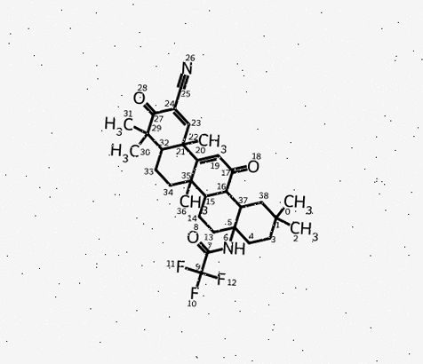 CC1(C)CCC2(NC(=O)C(F)(F)F)CCC3C(C(=O)C=C4C5(C)C=C(C#N)C(=O)C(C)(C)C5CCC43C)C2C1